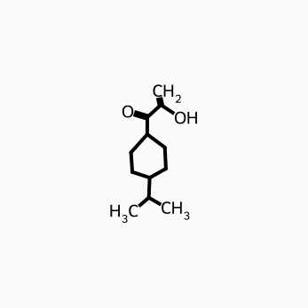 C=C(O)C(=O)C1CCC(C(C)C)CC1